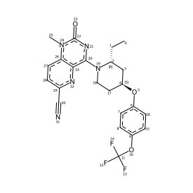 CC[C@@H]1C[C@@H](Oc2ccc(OC(F)(F)F)cc2)CCN1c1nc(=O)n(C)c2ccc(C#N)nc12